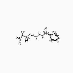 CNC(=O)NSCCCN(C)c1ccsn1